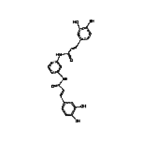 O=C(C=Cc1ccc(O)c(O)c1)Nc1cccc(NC(=O)/C=C/c2ccc(O)c(O)c2)c1